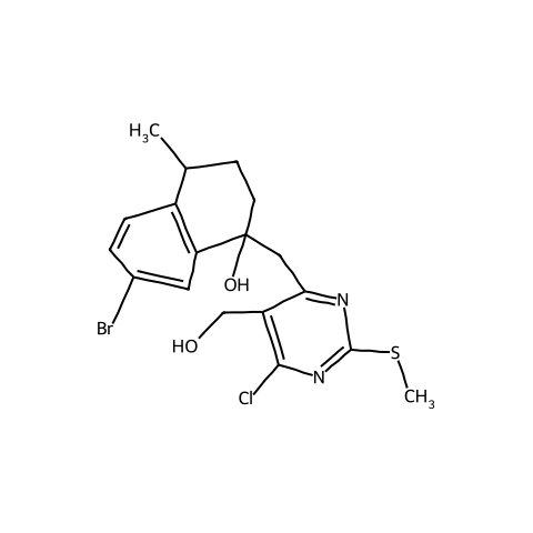 CSc1nc(Cl)c(CO)c(CC2(O)CCC(C)c3ccc(Br)cc32)n1